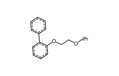 CC(C)OCCOc1ccccc1-c1ccccc1